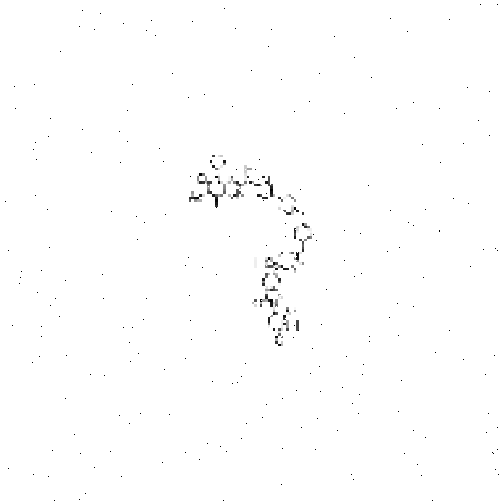 CC(=O)c1c(C)c2cnc(Nc3ccc(N4CCN(Cc5ccc(CN6CC[C@@](O)(c7ccc8c(c7)CN(C7CCC(=O)NC7=O)C8=O)CC6(C)C)cc5)CC4)cn3)nc2n(C2CCCC2)c1=O